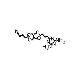 N#CC=CCC1OCC2(CO1)COC(CC=Cc1nc(N)nc(N)n1)OC2